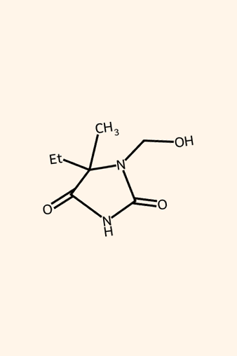 CCC1(C)C(=O)NC(=O)N1CO